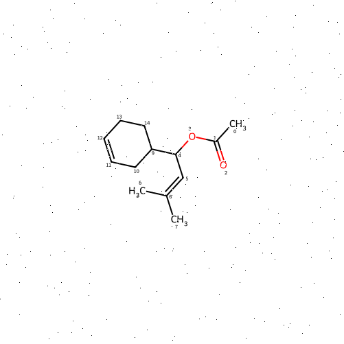 CC(=O)OC(C=C(C)C)C1CC=CCC1